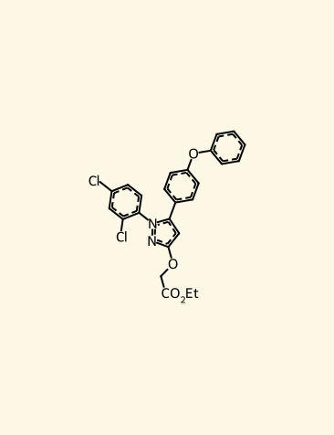 CCOC(=O)COc1cc(-c2ccc(Oc3ccccc3)cc2)n(-c2ccc(Cl)cc2Cl)n1